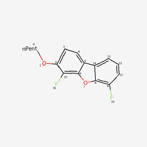 CCCCCOc1ccc2c(oc3c(F)cccc32)c1F